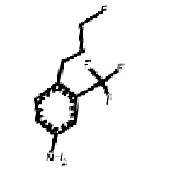 Nc1ccc(CCCF)c(C(F)(F)F)c1